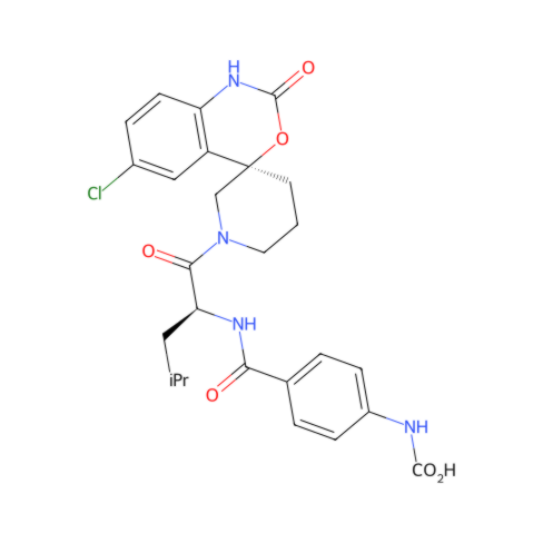 CC(C)C[C@H](NC(=O)c1ccc(NC(=O)O)cc1)C(=O)N1CCC[C@@]2(C1)OC(=O)Nc1ccc(Cl)cc12